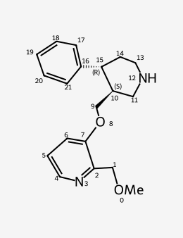 COCc1ncccc1OC[C@@H]1CNCC[C@H]1c1ccccc1